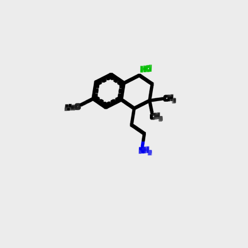 COc1ccc2c(c1)C(CCN)C(C)(C)CC2.Cl